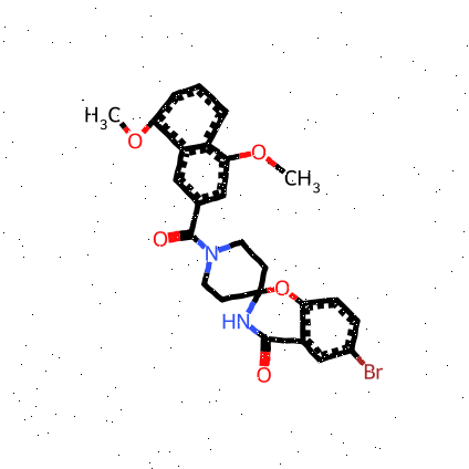 COc1cc(C(=O)N2CCC3(CC2)NC(=O)c2cc(Br)ccc2O3)cc2c(OC)cccc12